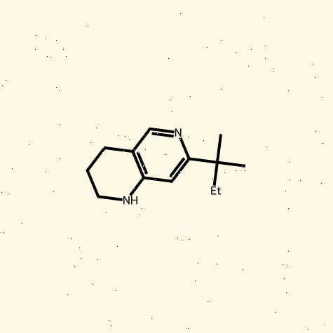 CCC(C)(C)c1cc2c(cn1)CCCN2